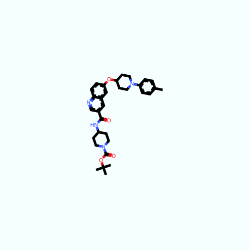 Cc1ccc(N2CCC(Oc3ccc4ncc(C(=O)NC5CCN(C(=O)OC(C)(C)C)CC5)cc4c3)CC2)cc1